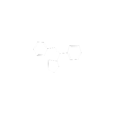 C(=C(/[C]1CCCC1)c1ccccc1)/c1ccccc1